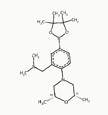 C[C@@H]1CN(c2ccc(B3OC(C)(C)C(C)(C)O3)cc2CN(C)C)C[C@H](C)O1